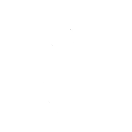 Cc1cc(OCCN2CCC3(CC2)COC3)ccc1-c1ccc(CC(=O)NCc2ccccc2)nc1